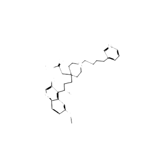 COc1ccc2ncc(Cl)c([C@H](F)CCC3(CC(=O)O)CCN(CCCCc4cccnc4)CC3)c2c1